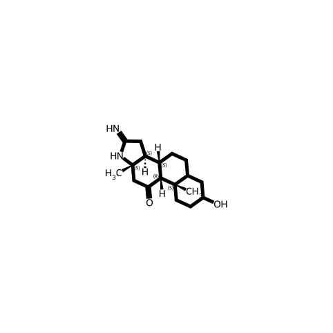 C[C@]12CCC(O)CC1CC[C@@H]1[C@H]2C(=O)C[C@]2(C)NC(=N)C[C@@H]12